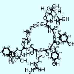 CC(C)(C)N[C@@H](Cc1c[nH]c2ccccc12)C(=O)N[C@H]1CC(=O)ONCCCCC(C(=O)N[C@@H](CC(=O)O)C(=O)C(C)(C)C)NC(=O)[C@H](Cc2ccc(O)cc2)NC(=O)[C@H](Cc2ccc(O)cc2)NC(=O)[C@H](CCCNC(=N)N)NC1=O